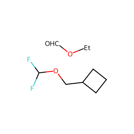 CCOC=O.FC(F)OCC1CCC1